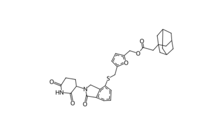 O=C1CCC(N2Cc3c(SCc4ccc(COC(=O)CC56CC7CC(CC(C7)C5)C6)o4)cccc3C2=O)C(=O)N1